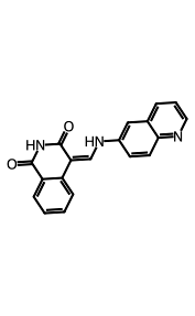 O=C1NC(=O)c2ccccc2C1=CNc1ccc2ncccc2c1